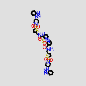 O=C(NCc1ccc(S(=O)(=O)N2CCC(n3nnc4ccccc43)CC2)s1)c1cccn(-n2cccc(C(=O)NCc3ccc(S(=O)(=O)N4CCC(n5nnc6ccccc65)CC4)s3)c2=S)c1=O